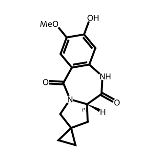 COc1cc2c(cc1O)NC(=O)[C@@H]1CC3(CC3)CN1C2=O